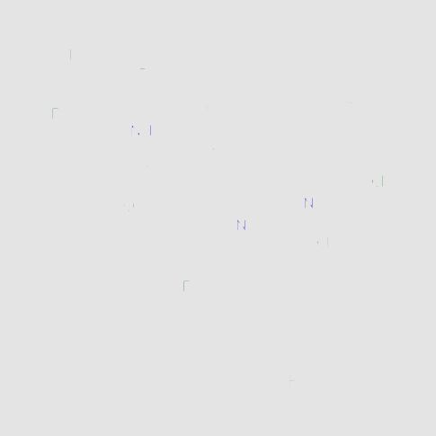 O=C(NC(F)(C(F)F)C1CC1)c1cn(-c2c(F)cc(F)cc2Cl)c2nc(Cl)c(F)cc2c1=O